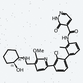 COc1nc(-c2cccc(-c3cccc(NC(=O)c4ccn[nH]c4=O)c3C)c2Cl)ccc1CN[C@@H]1CCCC[C@@H]1O